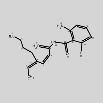 C=C(/C=C\C(=C/C)CCCC(C)(C)C)NC(=O)c1c(N)cccc1F